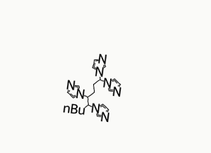 CCCCC(C(CCC(n1ccnc1)n1ccnc1)n1ccnc1)n1ccnc1